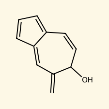 C=C1C=C2C=CC=C2C=CC1O